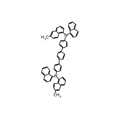 Cc1ccc2c(N(c3ccc(-c4ccc(-c5ccc(N(c6cccc7ccccc67)c6cccc7cc(C)ccc67)cc5)cc4)cc3)c3cccc4ccccc34)cccc2c1